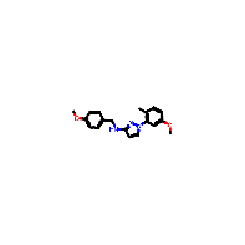 [CH2]c1ccc(OC)cc1-n1ccc(NCc2ccc(OC)cc2)n1